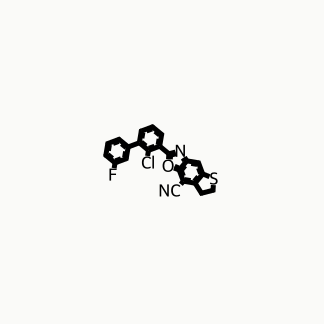 N#Cc1c2c(cc3nc(-c4cccc(-c5cccc(F)c5)c4Cl)oc13)SCC2